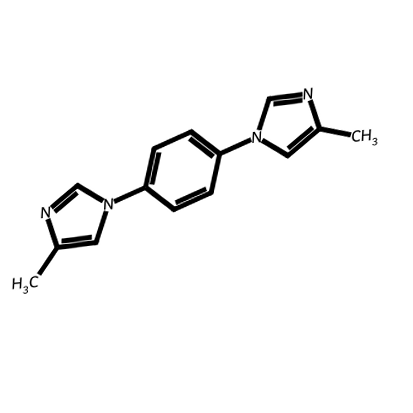 Cc1cn(-c2ccc(-n3cnc(C)c3)cc2)cn1